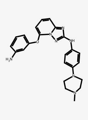 CN1CCN(c2ccc(Nc3nc4cccc(Oc5cccc(N)c5)n4n3)cc2)CC1